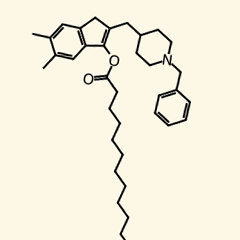 CCCCCCCCCCCC(=O)OC1=C(CC2CCN(Cc3ccccc3)CC2)Cc2cc(C)c(C)cc21